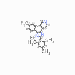 CCn1c(-c2c(C)cc(C)cc2C)nc(-c2ccncc2)c1-c1ccc(C(F)(F)F)cc1